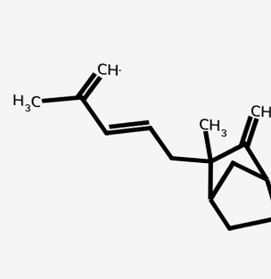 [CH]=C(C)/C=C/CC1(C)C(=C)C2CCC1C2